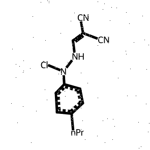 CCCc1ccc(N(Cl)NC=C(C#N)C#N)cc1